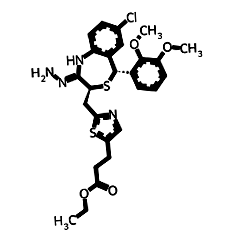 CCOC(=O)CCc1cnc(C[C@@H]2S[C@@H](c3cccc(OC)c3OC)c3cc(Cl)ccc3NC2=NN)s1